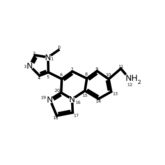 Cn1cncc1-c1cc2cc(CN)ccc2n2ccnc12